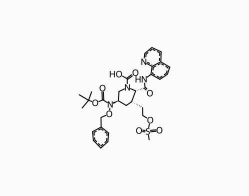 CC(C)(C)OC(=O)N(OCc1ccccc1)[C@@H]1C[C@@H](CCOS(C)(=O)=O)[C@@H](C(=O)Nc2cccc3cccnc23)N(C(=O)O)C1